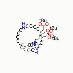 CC(C)(C)OC(=O)CC12CCCCNCCCCC(CCCCNCCCC1)CCCCNCCCC2(CC(=O)OC(C)(C)C)CC(=O)OC(C)(C)C